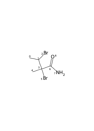 CC(Br)C(C)(Br)C(N)=O